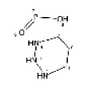 C1CNNNC1.O=PO